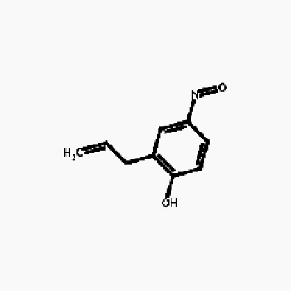 C=CCc1cc(N=O)ccc1O